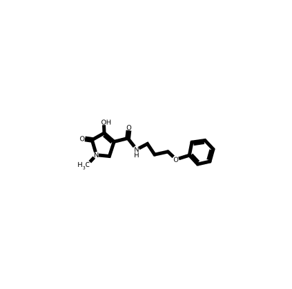 CN1CC(C(=O)NCCCOc2ccccc2)=C(O)C1=O